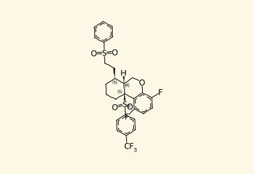 O=S(=O)(CC[C@@H]1CCC[C@@]2(S(=O)(=O)c3ccc(C(F)(F)F)cc3)c3c(F)ccc(F)c3OC[C@@H]12)c1ccccc1